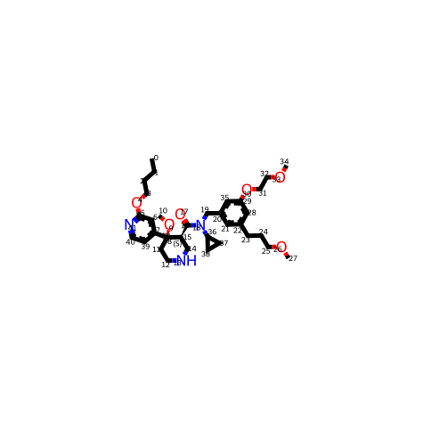 CCCCOc1cc([C@@]2(OC)CCNC[C@@H]2C(=O)N(Cc2cc(CCCOC)cc(OCCOC)c2)C2CC2)ccn1